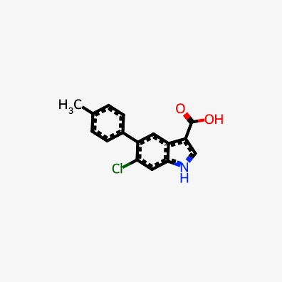 Cc1ccc(-c2cc3c(C(=O)O)c[nH]c3cc2Cl)cc1